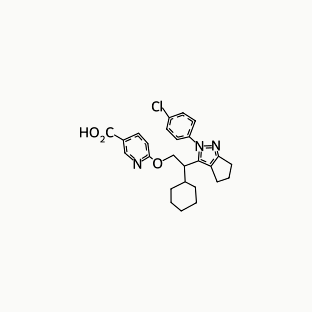 O=C(O)c1ccc(OCC(c2c3c(nn2-c2ccc(Cl)cc2)CCC3)C2CCCCC2)nc1